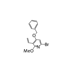 C=Cc1c(OCc2ccccc2)cc(Br)nc1OC